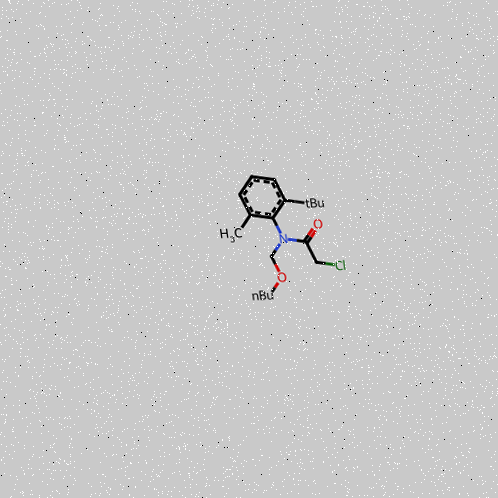 CCCCOCN(C(=O)CCl)c1c(C)cccc1C(C)(C)C